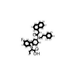 CCC(C(=O)O)n1c2c(c3cc(F)ccc31)C[C@@H](N(CCc1ccccc1)C(=O)Cc1cccc3ccccc13)CC2